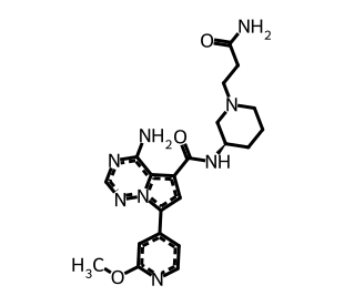 COc1cc(-c2cc(C(=O)N[C@@H]3CCCN(CCC(N)=O)C3)c3c(N)ncnn23)ccn1